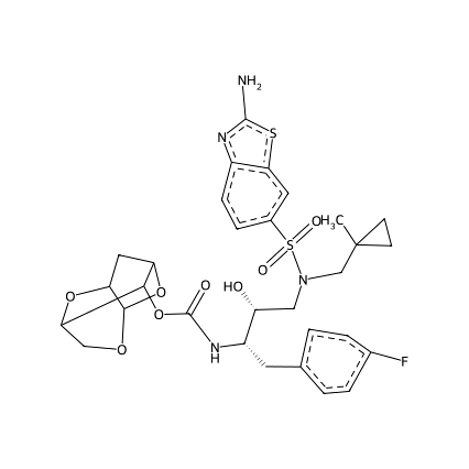 CC1(CN(C[C@@H](O)[C@H](Cc2ccc(F)cc2)NC(=O)OC2C3COC4OC2CC4O3)S(=O)(=O)c2ccc3nc(N)sc3c2)CC1